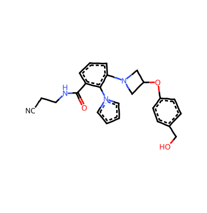 N#CCCNC(=O)c1cccc(N2CC(Oc3ccc(CO)cc3)C2)c1-n1cccc1